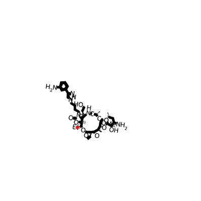 C=C[C@H]1C(=O)O[C@H](CC)[C@@]2(C)OC(=O)N(CCCCn3cc(-c4cccc(N)c4)nn3)[C@@H]2[C@@H](CCO)NC[C@H](C)C[C@@](C)(OC)[C@H](O[C@@H]2O[C@H](C)CC(N)C2O)[C@@H](C)C1=O